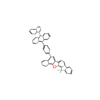 CC1(C)c2ccccc2-c2ccc3c(oc4c5ccccc5c(-c5ccc(-c6c7ccccc7c(-c7cccc8ccccc78)c7ccccc67)cc5)cc34)c21